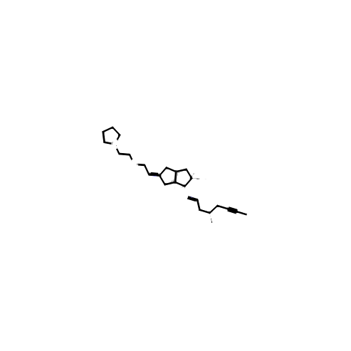 CC#CC[C@@H](C)[C@H](O)/C=C/[C@@H]1[C@H]2C/C(=C/COCCN3CCCC3)C[C@H]2C[C@H]1O